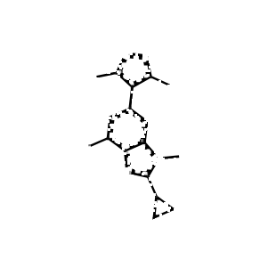 Cc1noc(C)c1-c1cc(I)c2nc(C3CC3)n(C)c2c1